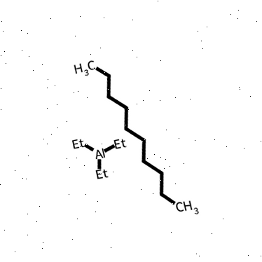 CCCCCCCCCC.C[CH2][Al]([CH2]C)[CH2]C